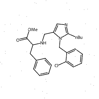 CCCCc1ncc(CNC(Cc2ccccc2)C(=O)OC)n1Cc1ccccc1Cl